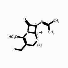 CC(C)=N[C@@H]1C(=O)N2C(C(=O)O)=C(CBr)CS[C@H]12.Cl